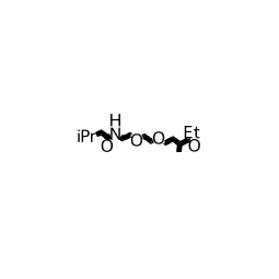 CCC(=O)C(C)CCOCCOCCNC(=O)CC(C)C